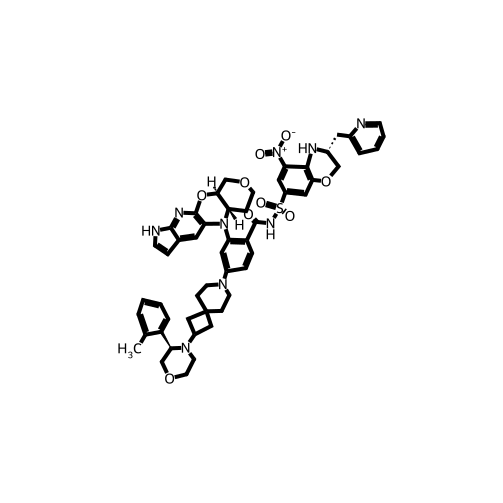 Cc1ccccc1[C@@H]1COCCN1C1CC2(CCN(c3ccc(C(=O)NS(=O)(=O)c4cc5c(c([N+](=O)[O-])c4)N[C@H](Cc4ccccn4)CO5)c(N4c5cc6cc[nH]c6nc5O[C@H]5COCC[C@@H]54)c3)CC2)C1